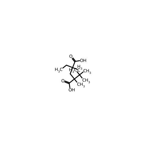 CCC(C)(CC(C)(C(=O)O)C(C)(C)C)C(=O)O